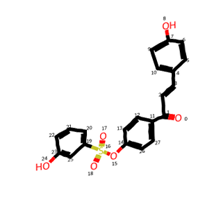 O=C(/C=C/c1ccc(O)cc1)c1ccc(OS(=O)(=O)c2cccc(O)c2)cc1